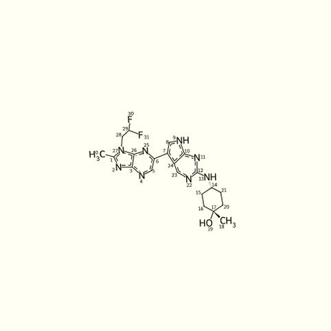 Cc1nc2ncc(-c3c[nH]c4nc(N[C@H]5CC[C@@](C)(O)CC5)ncc34)nc2n1CC(F)F